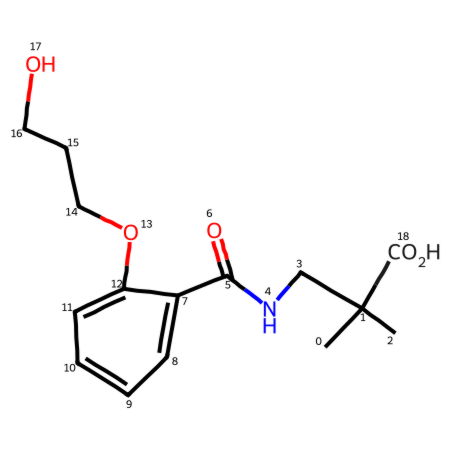 CC(C)(CNC(=O)c1ccccc1OCCCO)C(=O)O